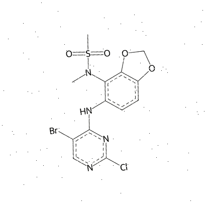 CN(c1c(Nc2nc(Cl)ncc2Br)ccc2c1OCO2)S(C)(=O)=O